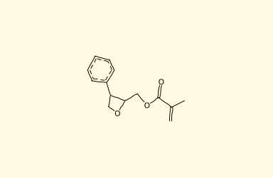 C=C(C)C(=O)OCC1OCC1c1ccccc1